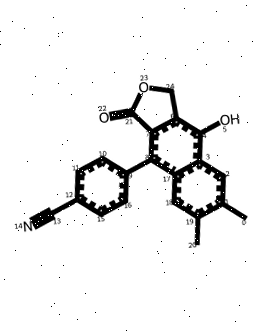 Cc1cc2c(O)c3c(c(-c4ccc(C#N)cc4)c2cc1C)C(=O)OC3